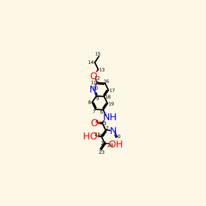 C=N/C(C(=O)Nc1ccc2nc(OCCC)ccc2c1)=C(/O)C(=C)O